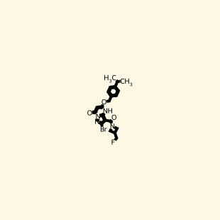 CC(C)c1ccc(COc2cc(=O)n3nc(Br)c(C(=O)N4CC(CF)C4)c3[nH]2)cc1